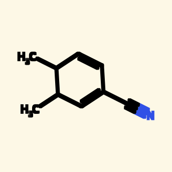 CC1C=CC(C#N)=CC1C